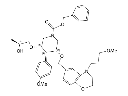 COCCCN1CCOc2ccc(CO[C@H]3CN(C(=O)OCc4ccccc4)C[C@@H](OC[C@H](C)O)[C@@H]3c3ccc(OC)cc3)cc21